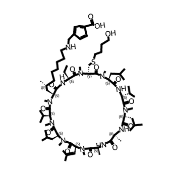 CC[C@@H]1NC(=O)[C@H](C[C@H](C)CCCCCCNCc2ccc(C(=O)O)cc2)N(C)C(=O)[C@H](C(C)C)N(C)C(=O)[C@H](CC(C)C)N(C)C(=O)[C@H](C=C(C)C)N(C)C(=O)[C@H](C)NC(=O)[C@@H](C)NC(=O)[C@@H](CC(C)C)N(C)C(=O)[C@@H](C(C)C)NC(=O)[C@H](CC(C)C)N(C)C(=O)[C@@H](CSCCCCO)N(C)C1=O